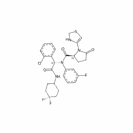 O=C(NC1CCC(F)(F)CC1)[C@H](c1ccccc1Cl)N(C(=O)[C@@H]1CCC(=O)N1C1=CSCN1)c1cccc(F)c1